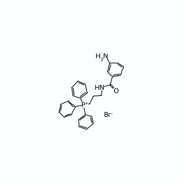 Nc1cccc(C(=O)NCCC[P+](c2ccccc2)(c2ccccc2)c2ccccc2)c1.[Br-]